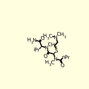 CCCC(=O)N(C)[C@H](SCCN(C)C)C(=O)N(C)[C@H](C(N)=O)C(C)C